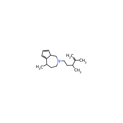 C=C(C)C(C)CCN1CCC(C)C2=CC=CC2C1